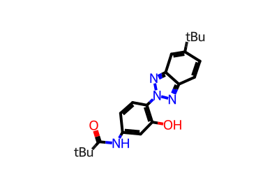 CC(C)(C)C(=O)Nc1ccc(-n2nc3ccc(C(C)(C)C)cc3n2)c(O)c1